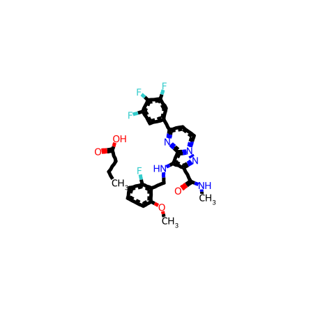 CCCC(=O)O.CNC(=O)c1nn2ccc(-c3cc(F)c(F)c(F)c3)nc2c1NCc1c(F)cccc1OC